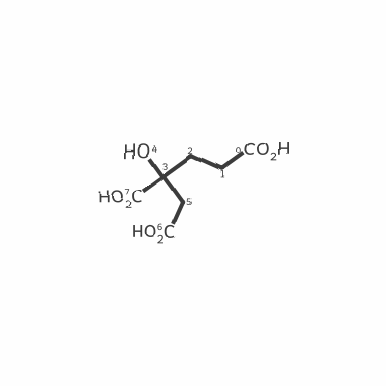 O=C(O)CCC(O)(CC(=O)O)C(=O)O